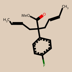 C/C=C/CC(C/C=C/C)(C(=O)OC)c1ccc(F)cc1